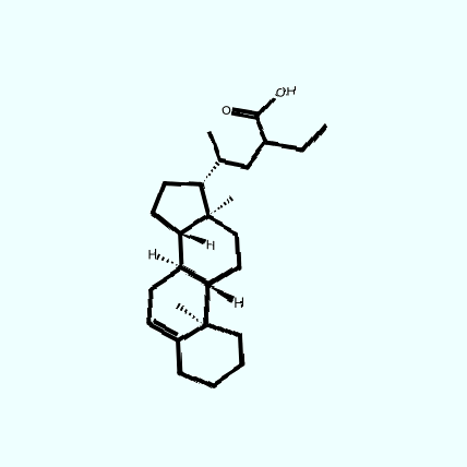 CCC(CC(C)[C@H]1CC[C@H]2[C@@H]3CC=C4CCCC[C@]4(C)[C@H]3CC[C@]12C)C(=O)O